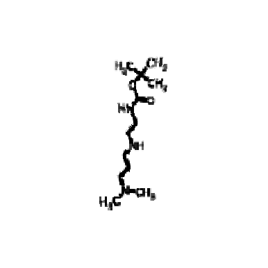 CN(C)CCCNCCNC(=O)OC(C)(C)C